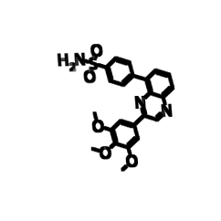 COc1cc(-c2cnc3cccc(-c4ccc(S(N)(=O)=O)cc4)c3n2)cc(OC)c1OC